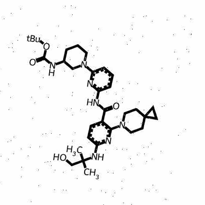 CC(C)(CO)Nc1ccc(C(=O)Nc2cccc(N3CCCC(NC(=O)OC(C)(C)C)C3)n2)c(N2CCC3(CC2)CC3)n1